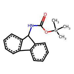 C[Si](C)(C)OC(=O)NC1c2ccccc2-c2ccccc21